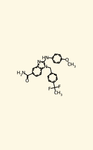 COc1ccc(Nc2nc3cc(C(N)=O)ccc3n2Cc2ccc(C(C)(F)F)cc2)cc1